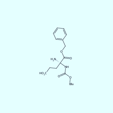 CC(C)(C)OC(=O)N[C@@](N)(CCC(=O)O)C(=O)OCc1ccccc1